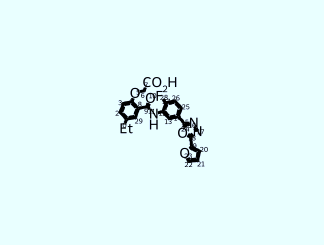 CCc1ccc(OCC(=O)O)c(C(=O)Nc2cc(-c3nnc(-c4ccco4)o3)ccc2F)c1